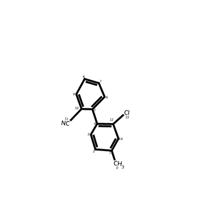 Cc1ccc(-c2ccccc2C#N)c(Cl)c1